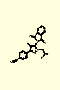 Cc1c(-c2ccc(C#N)cc2)nn(CC(F)F)c1N1C(=O)c2ccccc2C1=O